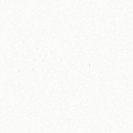 CN(C)P(=O)(N(C)C)N(C)C.c1ccc(OP(Oc2ccccc2)Oc2ccccc2)cc1